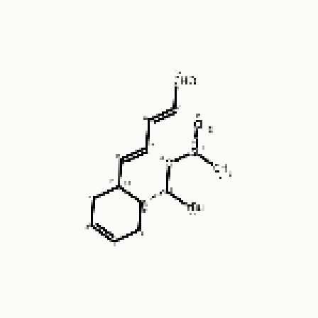 C[SiH](C)OC([C@@H]1CC=CC[C@H]1C=CC=CC=O)C(C)(C)C